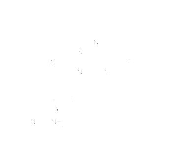 C#CCOc1cnc2c(Nc3cnc(F)c(C[C@](C)(CF)S/C(N)=N\C)c3)ncnc2c1